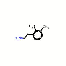 Bc1c(C)cccc1CCN